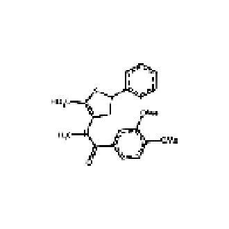 COc1ccc(C(=O)N(C)C2=C(C(=O)O)SC(c3ccccc3)C2)cc1OC